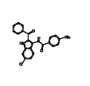 CC(C)(C)c1ccc(C(=O)Nc2c(C(=O)c3ccccc3)[nH]c3cc(Cl)ccc23)cc1